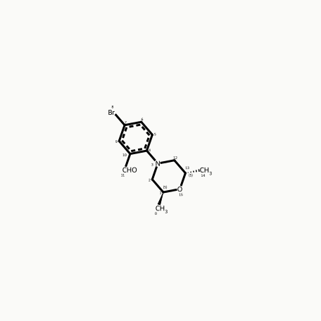 C[C@H]1CN(c2ccc(Br)cc2C=O)C[C@H](C)O1